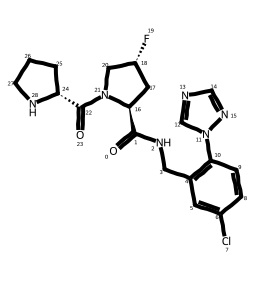 O=C(NCc1cc(Cl)ccc1-n1cncn1)[C@@H]1C[C@@H](F)CN1C(=O)[C@H]1CCCN1